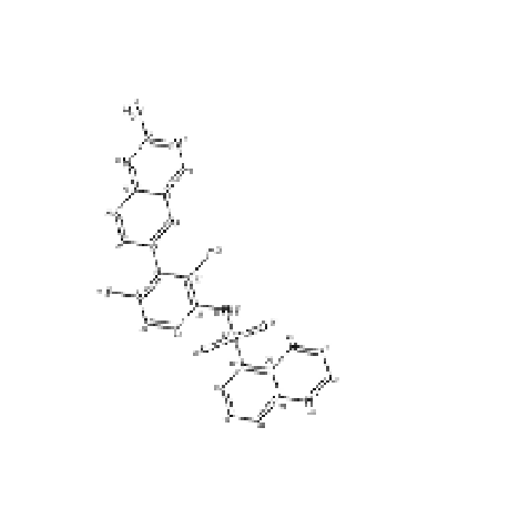 Nc1ncc2cc(-c3c(F)ccc(NS(=O)(=O)c4cccc5nccnc45)c3F)ccc2n1